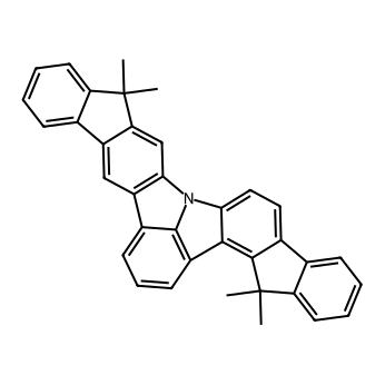 CC1(C)c2ccccc2-c2cc3c4cccc5c6c7c(ccc6n(c3cc21)c45)-c1ccccc1C7(C)C